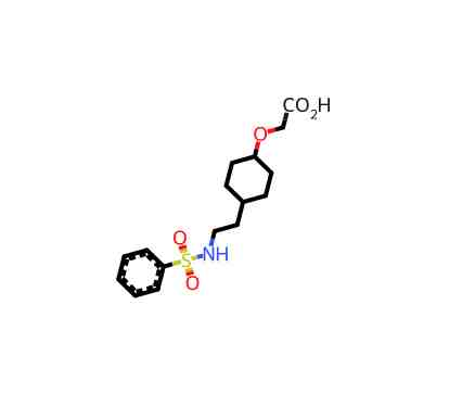 O=C(O)COC1CCC(CCNS(=O)(=O)c2ccccc2)CC1